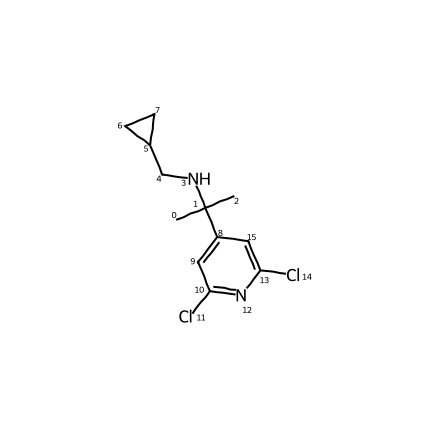 CC(C)(NCC1CC1)c1cc(Cl)nc(Cl)c1